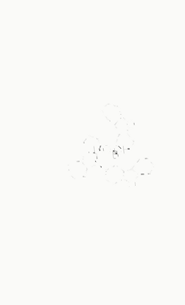 OB(O)c1c(-n2c3ccccc3c3ccccc32)ccc2oc3cccc(-c4ccc5c(c4)oc4ccccc45)c3c12